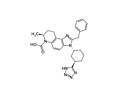 C[C@H]1CCc2c(ccc3c2nc(Cc2ccccc2)n3[C@@H]2CCC[C@@H](c3nnn[nH]3)C2)N1C(=O)O